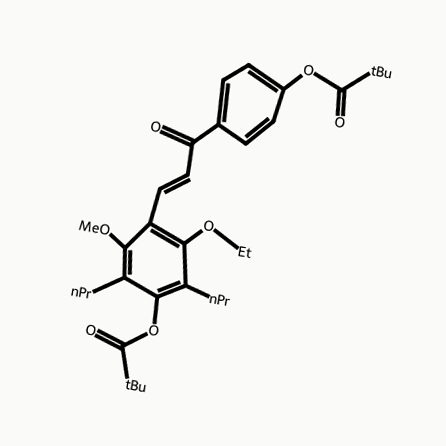 CCCc1c(OC)c(C=CC(=O)c2ccc(OC(=O)C(C)(C)C)cc2)c(OCC)c(CCC)c1OC(=O)C(C)(C)C